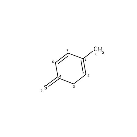 CC1=CCC(=S)C=C1